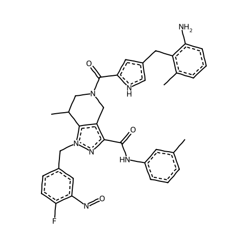 Cc1cccc(NC(=O)c2nn(Cc3ccc(F)c(N=O)c3)c3c2CN(C(=O)c2cc(Cc4c(C)cccc4N)c[nH]2)CC3C)c1